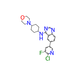 Fc1cc(-c2ccc3ncnc(NC4CCC(N5CCOCC5)CC4)c3c2)cnc1Cl